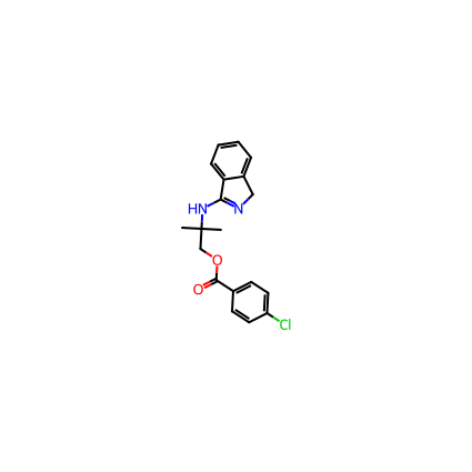 CC(C)(COC(=O)c1ccc(Cl)cc1)NC1=NCc2ccccc21